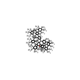 Bc1cc2c(cc1B)C1(c3cc(B)c(B)c(B)c3-c3c(B)c(B)c(B)c(B)c31)c1c(B)c(B)cc(C(c3ccc(-c4c(B)c(-c5c(B)c(B)c(B)c(B)c5B)c(B)c(-c5c(B)c(B)c(B)c(B)c5B)c4B)c(B)c3B)c3cc4c(c(B)c3B)c3c(B)c(B)c(B)c(B)c3n4-c3c(B)c(B)c(B)c(B)c3B)c1-2